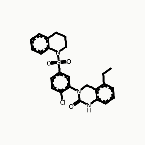 CCc1cccc2c1CN(c1cc(S(=O)(=O)N3CCCc4ccccc43)ccc1Cl)C(=O)N2